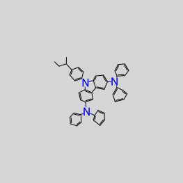 CCC(C)c1ccc(-n2c3ccc(N(c4ccccc4)c4ccccc4)cc3c3cc(N(c4ccccc4)c4ccccc4)ccc32)cc1